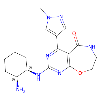 Cn1cc(-c2nc(N[C@@H]3CCCC[C@@H]3N)nc3c2C(=O)NCCO3)cn1